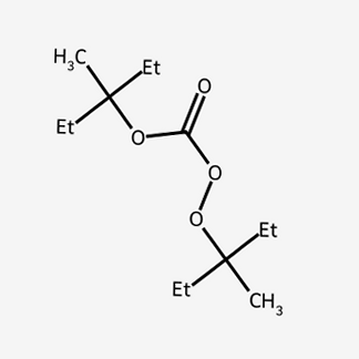 CCC(C)(CC)OOC(=O)OC(C)(CC)CC